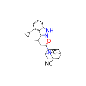 CC(CC(=O)N1CC2CC3CC1CC(C#N)(C3)C2)c1n[nH]c2cccc(C3CC3)c12